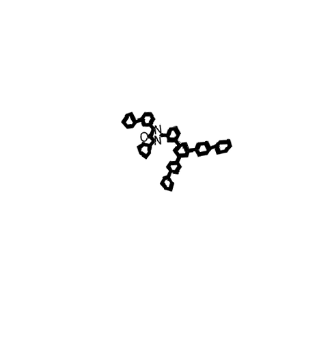 c1ccc(-c2ccc(-c3cc(-c4ccc(-c5ccccc5)cc4)cc(-c4cccc(-c5nc(-c6cccc(-c7ccccc7)c6)c6oc7ccccc7c6n5)c4)c3)cc2)cc1